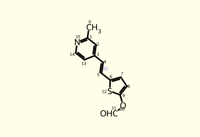 Cc1cc(/C=C/c2ccc(OC=O)s2)ccn1